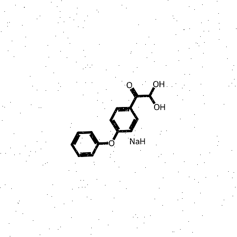 O=C(c1ccc(Oc2ccccc2)cc1)C(O)O.[NaH]